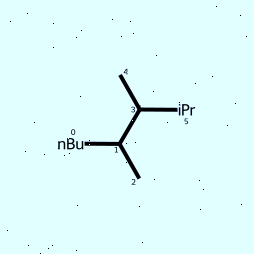 CCCCC(C)[C](C)C(C)C